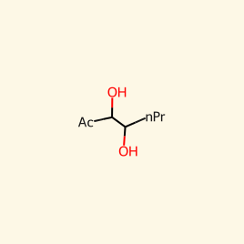 CCCC(O)C(O)C(C)=O